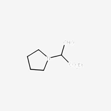 CCOC(=O)C(C=O)N1CCCC1